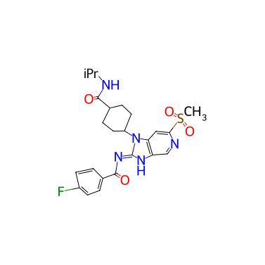 CC(C)NC(=O)C1CCC(n2/c(=N/C(=O)c3ccc(F)cc3)[nH]c3cnc(S(C)(=O)=O)cc32)CC1